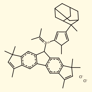 CC1=CC(C)(C)c2cc3c(cc21)-c1cc2c(cc1[CH]3[Zr+2]([C]1=CC(C3(C)C4CC5CC(C4)CC3C5)=CC1C)=[C](C)C)C(C)(C)C=C2C.[Cl-].[Cl-]